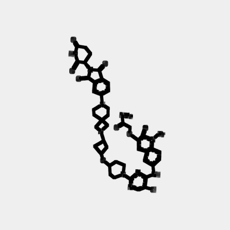 CNC(=O)COc1cc2cc(Nc3nc(N4CCC(OC5CC(N6CC7(CCN(c8ccc9c(c8)C(=O)N([C@@H]8CCC(=O)NC8=O)C9=O)CC7)C6)C5)CC4)ncc3Cl)ccc2n(C(C)C)c1=O